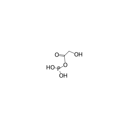 O=C(CO)OP(O)O